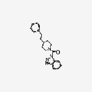 O=C(N1CCC(CCc2ccccc2)CC1)n1nnc2ccccc21